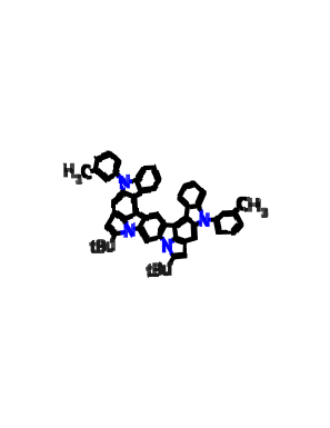 Cc1cccc(-n2c3ccccc3c3c4c5cc6c7c8c9ccccc9n(-c9cccc(C)c9)c8cc8cc(C(C)(C)C)n(c6cc5n5c(C(C)(C)C)cc(cc32)c45)c87)c1